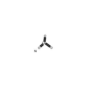 [Ni].[O]=[La](=[O])=[O]